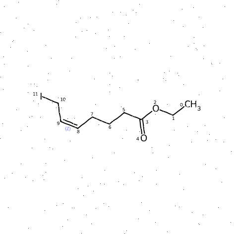 CCOC(=O)CCC/C=C\CI